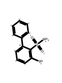 NS(=O)(=O)c1c(S)cccc1-c1ccccc1